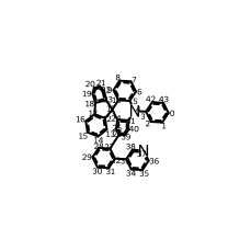 c1ccc(N2c3ccccc3C3(c4ccccc4-c4ccccc43)c3cc(-c4ccccc4-c4cccnc4)ccc32)cc1